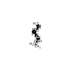 Cc1cc(C(=O)Nc2ccc(F)c(-c3cn4cc(NC(=O)OC(C)C)cnc4n3)c2)no1